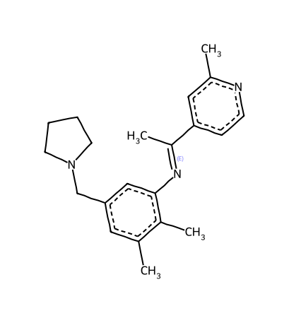 C/C(=N\c1cc(CN2CCCC2)cc(C)c1C)c1ccnc(C)c1